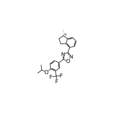 CC(C)Oc1ccc(-c2nc(-c3cccc4c3CC[C@@H]4C)no2)cc1C(F)(F)F